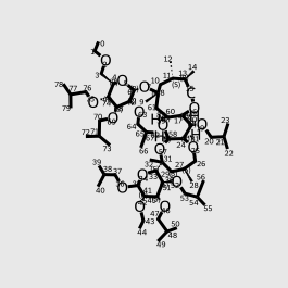 CCOC[C@H]1O[C@H](O[C@]2(C)C[C@H](C)[C@@H](C)CO[C@H]3[C@H](OCC(C)C)[C@H]4OC[C@@H](C)[C@H](C)C(C)([C@H]5OC(OCC(C)C)[C@H](OCC)[C@@H](OCC(C)C)[C@@H]5OCC(C)C)O[C@H]4O[C@@H]3C2)[C@H](OCC(C)C)[C@@H](OCC(C)C)[C@@H]1OCC(C)C